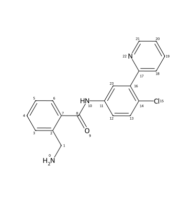 NCc1ccccc1C(=O)Nc1ccc(Cl)c(-c2ccccn2)c1